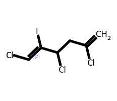 C=C(Cl)CC(Cl)/C(I)=C/Cl